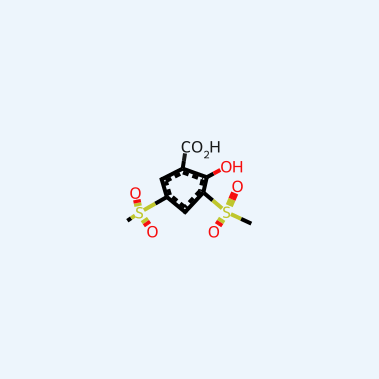 CS(=O)(=O)c1cc(C(=O)O)c(O)c(S(C)(=O)=O)c1